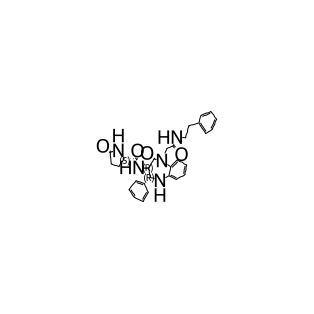 O=C(CN1C(=O)[C@H](NC(=O)[C@@H]2CCC(=O)N2)[C@@H](c2ccccc2)Nc2ccccc21)NCCc1ccccc1